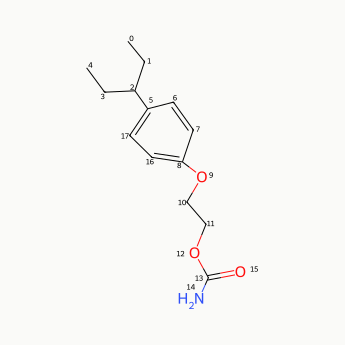 CCC(CC)c1ccc(OCCOC(N)=O)cc1